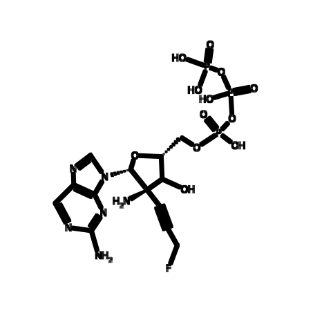 Nc1ncc2ncn([C@@H]3O[C@H](COP(=O)(O)OP(=O)(O)OP(=O)(O)O)C(O)[C@]3(N)C#CCF)c2n1